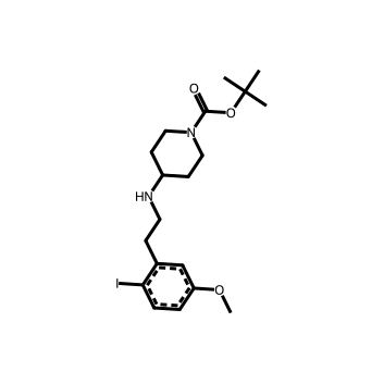 COc1ccc(I)c(CCNC2CCN(C(=O)OC(C)(C)C)CC2)c1